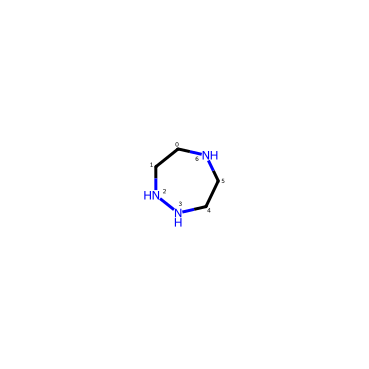 C1CNNCCN1